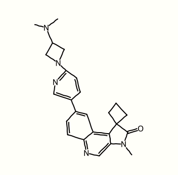 CN1C(=O)C2(CCC2)c2c1cnc1ccc(-c3ccc(N4CC(N(C)C)C4)nc3)cc21